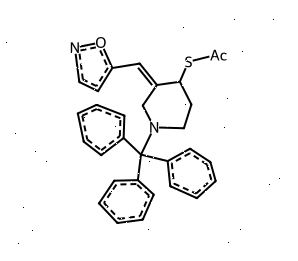 CC(=O)SC1CCN(C(c2ccccc2)(c2ccccc2)c2ccccc2)CC1=Cc1ccno1